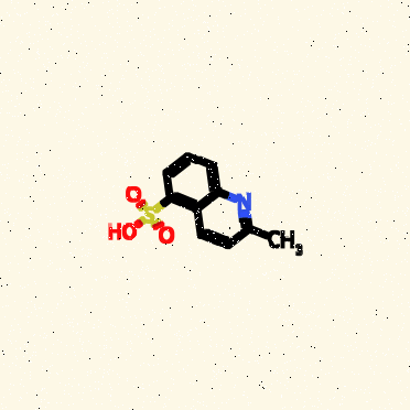 Cc1ccc2c(S(=O)(=O)O)cccc2n1